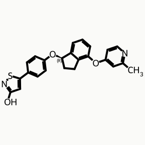 Cc1cc(Oc2cccc3c2CC[C@H]3Oc2ccc(-c3cc(O)ns3)cc2)ccn1